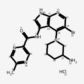 Cc1cnc(C(=O)Nc2c[nH]c3ncc(Br)c(N4CCCC(N)C4)c23)cn1.Cl